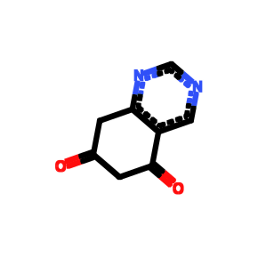 O=C1CC(=O)c2cncnc2C1